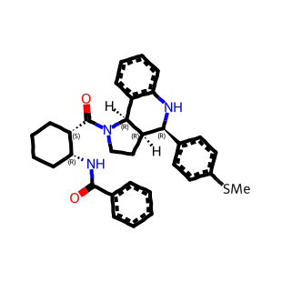 CSc1ccc([C@@H]2Nc3ccccc3[C@H]3[C@@H]2CCN3C(=O)[C@H]2CCCC[C@H]2NC(=O)c2ccccc2)cc1